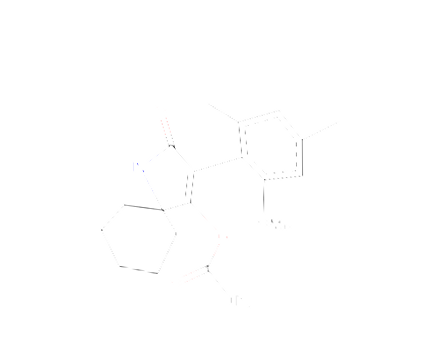 CCc1cc(C)cc(OC)c1C1=C(OC(=O)C(C)(C)C)C2(CCCCC2)NC1=O